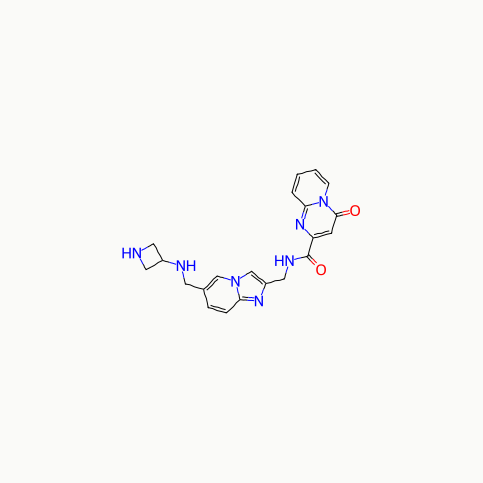 O=C(NCc1cn2cc(CNC3CNC3)ccc2n1)c1cc(=O)n2ccccc2n1